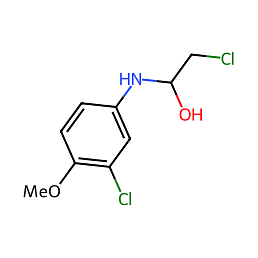 COc1ccc(NC(O)CCl)cc1Cl